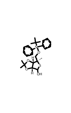 CC1(C)O[C@H]2C(O)S[C@](C)(CO[Si](c3ccccc3)(c3ccccc3)C(C)(C)C)[C@H]2O1